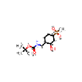 CC(C)(C)OC(=O)NCC1CCC(S(C)(=O)=O)C[C@H]1O